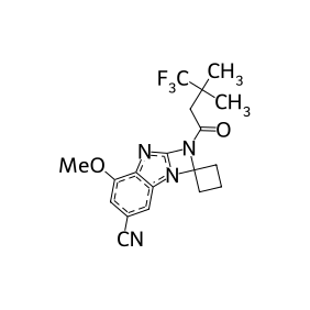 COc1cc(C#N)cc2c1nc1n2C2(CCC2)N1C(=O)CC(C)(C)C(F)(F)F